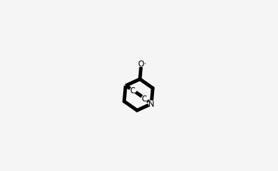 [O]C1CN2CCC1CC2